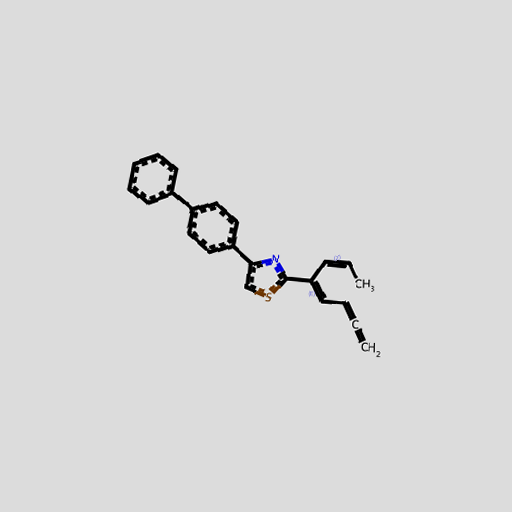 C=C=C/C=C(\C=C/C)c1nc(-c2ccc(-c3ccccc3)cc2)cs1